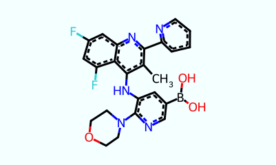 Cc1c(-c2ccccn2)nc2cc(F)cc(F)c2c1Nc1cc(B(O)O)cnc1N1CCOCC1